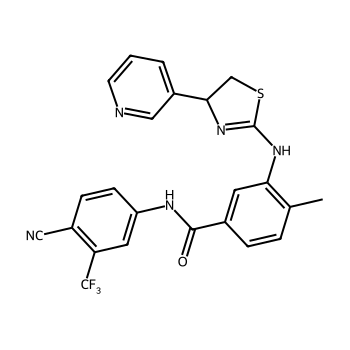 Cc1ccc(C(=O)Nc2ccc(C#N)c(C(F)(F)F)c2)cc1NC1=NC(c2cccnc2)CS1